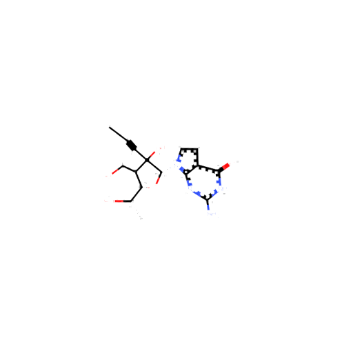 CC#CC1(O)C(CO)[C@@H]([C@H](C)O)O[C@H]1n1ccc2c(=O)[nH]c(N)nc21